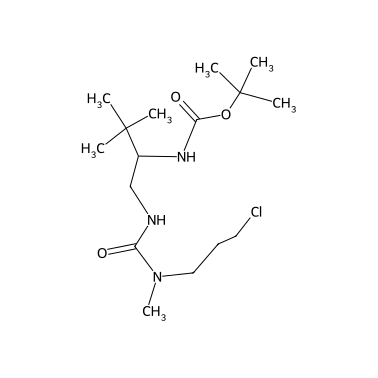 CN(CCCCl)C(=O)NCC(NC(=O)OC(C)(C)C)C(C)(C)C